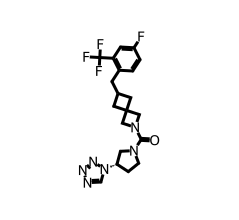 O=C(N1CC[C@H](n2cnnn2)C1)N1CC2(CC(Cc3ccc(F)cc3C(F)(F)F)C2)C1